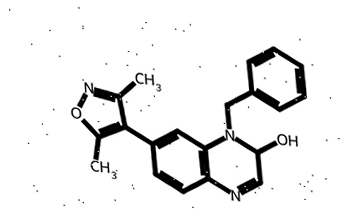 Cc1noc(C)c1-c1ccc2c(c1)N(Cc1ccccc1)C(O)C=N2